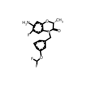 C[C@H]1Oc2cc(N)c(F)cc2N(Cc2cccc(OC(F)F)c2)C1=O